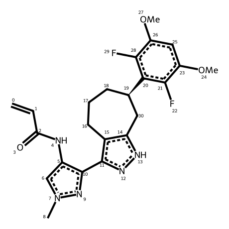 C=CC(=O)Nc1cn(C)nc1-c1n[nH]c2c1CCC[C@@H](c1c(F)c(OC)cc(OC)c1F)C2